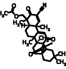 CC(=O)OC[C@]1(C)C(=O)C(C#N)=C[C@]2(C)C3=CC(=O)[C@]45OC(=O)[C@@]6(CCC(C)(C)CC64)CC[C@@]5(C)[C@]3(C)CC[C@H]21